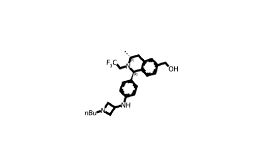 CCCCN1CC(Nc2ccc([C@@H]3c4ccc(CO)cc4C[C@@H](C)N3CC(F)(F)F)cc2)C1